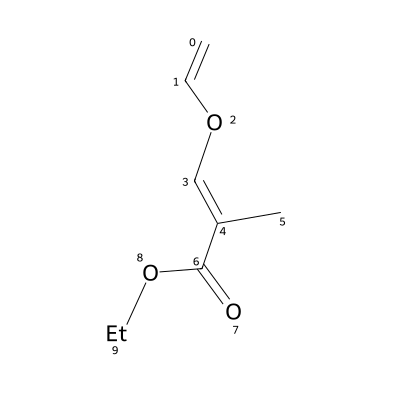 C=COC=C(C)C(=O)OCC